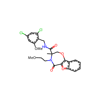 COCCN1C(=O)c2oc3ccccc3c2OCC1(C)C(=O)NCc1c(Cl)cc(Cl)cc1OC